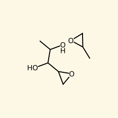 CC(O)C(O)C1CO1.CC1CO1